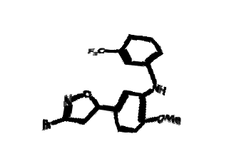 COc1ccc(C2CC(Br)=NO2)cc1Nc1cccc(C(F)(F)F)c1